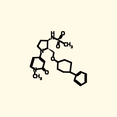 Cn1ccc(N2CC[C@H](NS(C)(=O)=O)[C@@H]2COC2CCC(c3ccccc3)CC2)cc1=O